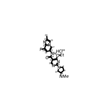 CCOc1nc(N2CC[C@H](NC)C2)ncc1C(=O)Nc1cc(F)c2nc(C)cn2c1.Cl